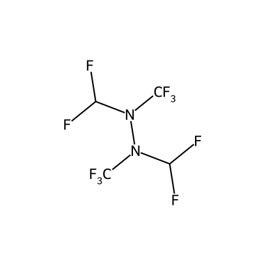 FC(F)N(N(C(F)F)C(F)(F)F)C(F)(F)F